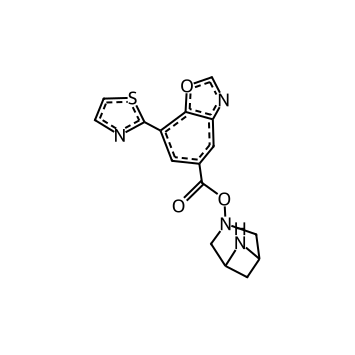 O=C(ON1CC2CC(C1)N2)c1cc(-c2nccs2)c2ocnc2c1